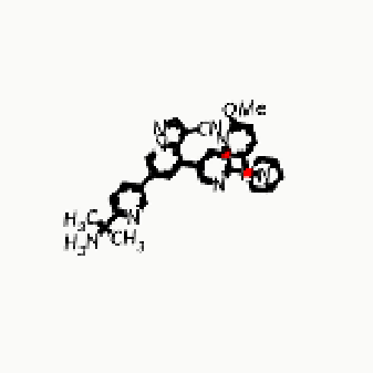 COc1ccc(CN2C3CC2CN(c2ccc(-c4cc(-c5ccc(C(C)(C)N)nc5)cn5ncc(C#N)c45)cn2)C3)cn1